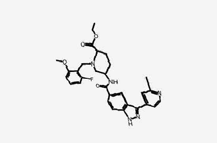 CCOC(=O)C1CCC(NC(=O)c2ccc3[nH]nc(-c4ccnc(C)c4)c3c2)CN1Cc1c(F)cccc1OC